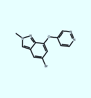 Cn1cc2cc(Br)cc(Oc3ccnnc3)c2n1